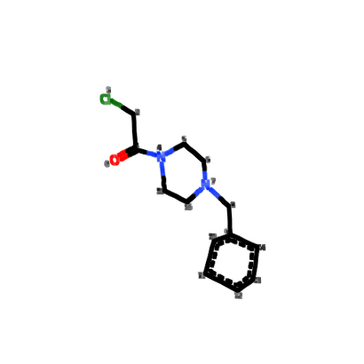 O=C(CCl)N1CCN(Cc2ccccc2)CC1